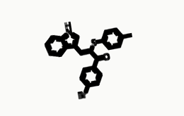 Cc1ccc(SC(=Cc2c[nH]c3ccccc23)C(=O)c2ccc(Br)cc2)cc1